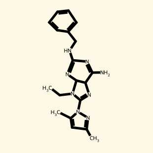 CCN1C(n2nc(C)cc2C)=NC2C(N)=NC(NCc3ccccc3)=NC21